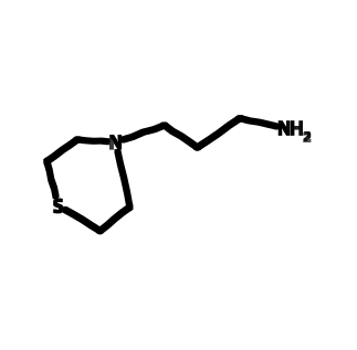 NCCCN1CCSCC1